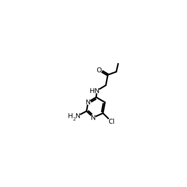 CCC(=O)CNc1cc(Cl)nc(N)n1